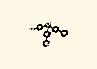 CCCCc1ccc(-c2nnc(-c3ccc(-c4ccccc4)cc3)n2-c2ccc(-c3cccnc3)cc2)cc1